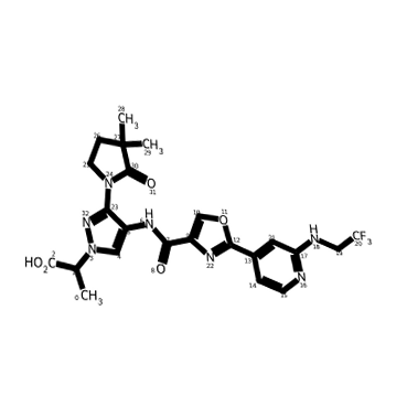 CC(C(=O)O)n1cc(NC(=O)c2coc(-c3ccnc(NCC(F)(F)F)c3)n2)c(N2CCC(C)(C)C2=O)n1